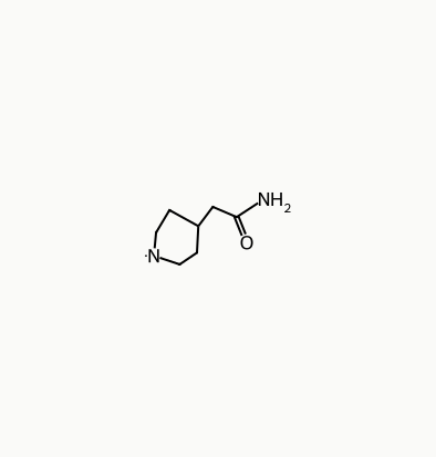 NC(=O)CC1CC[N]CC1